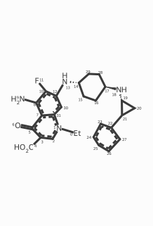 CCn1cc(C(=O)O)c(=O)c2c(N)c(F)c(N[C@H]3CC[C@H](N[C@@H]4CC4c4ccccc4)CC3)cc21